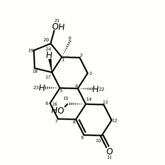 C[C@]12CC[C@@H]3[C@@H](CCC4=CC(=O)CC[C@@]43CO)[C@@H]1CCC2O